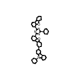 c1ccc(-c2nc(-c3cccc4c3oc3ccccc34)nc(-c3cccc4c3oc3ccc(-c5ccc6c(c5)c5ccccc5n6-c5ccccc5)cc34)n2)cc1